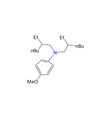 CCCCC(CC)CN(CC(CC)CCCC)c1ccc(OC)cc1